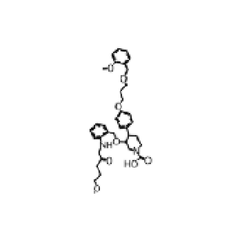 COCCCC(=O)CNc1ccccc1COC1CN(C(=O)O)CCC1c1ccc(OCCCOCc2ccccc2OC)cc1